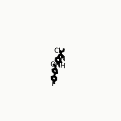 CCC(Cl)c1cnc2c(C)c(NC(=O)c3ccc(-c4ccc(F)cc4)cc3)ccc2c1